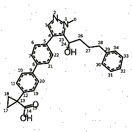 Cn1ncc(-c2ccc(-c3ccc(C4(C(=O)O)CC4)cc3)cc2)c1C(O)CCCc1ccccc1